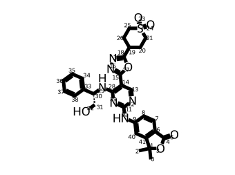 CC1(C)OC(=O)c2ccc(Nc3ncc(-c4nnc(C5CCS(=O)(=O)CC5)o4)c(N[C@H](CO)c4ccccc4)n3)cc21